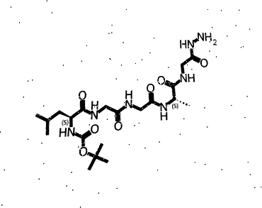 CC(C)C[C@H](NC(=O)OC(C)(C)C)C(=O)NCC(=O)NCC(=O)N[C@@H](C)C(=O)NCC(=O)NN